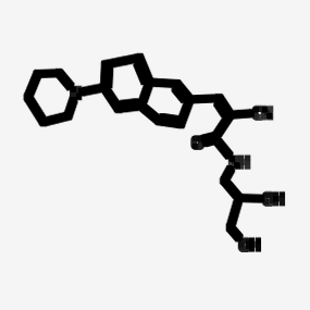 N#CC(=Cc1ccc2cc(N3CCCCC3)ccc2c1)C(=O)NCC(O)CO